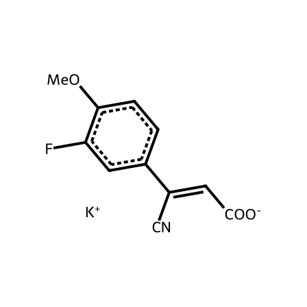 COc1ccc(C(C#N)=CC(=O)[O-])cc1F.[K+]